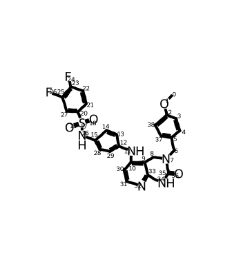 COc1ccc(CN2Cc3c(Nc4ccc(NS(=O)(=O)c5ccc(F)c(F)c5)cc4)ccnc3NC2=O)cc1